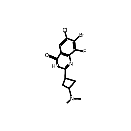 CN(C)C1CC(c2nc3c(F)c(Br)c(Cl)cc3c(=O)[nH]2)C1